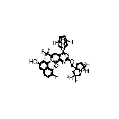 [2H]C1([2H])CC[C@@]2(COc3nc(N4C[C@H]5CC[C@@H](C4)N5)c4cc(C(F)(F)F)n(-c5cc(O)cc6ccc(F)c(F)c56)c(=O)c4n3)C[C@@]([2H])(F)CN12